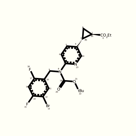 CCOC(=O)[C@@H]1C[C@H]1c1ccc(N(Cc2cc(Br)c(F)cc2F)C(=O)OC(C)(C)C)nc1